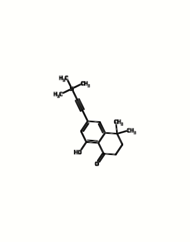 CC1(C)CCC(=O)c2c(O)cc(C#C[Si](C)(C)C)cc21